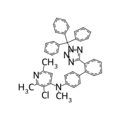 Cc1cc(N(C)c2ccc(-c3ccccc3-c3nnn(C(c4ccccc4)(c4ccccc4)c4ccccc4)n3)cc2)c(Cl)c(C)n1